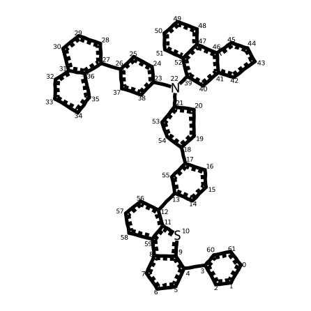 c1ccc(-c2cccc3c2sc2c(-c4cccc(-c5ccc(N(c6ccc(-c7cccc8ccccc78)cc6)c6cc7ccccc7c7ccccc67)cc5)c4)cccc23)cc1